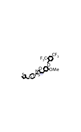 COc1cc(/C=C2/SC(N3CCN(Cc4ccsc4)CC3)=NC2=O)ccc1OCc1ccc(C(F)(F)F)cc1C(F)(F)F